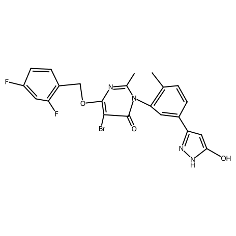 Cc1ccc(-c2cc(O)[nH]n2)cc1-n1c(C)nc(OCc2ccc(F)cc2F)c(Br)c1=O